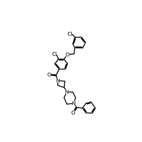 O=C(c1ccccc1)N1CCN(C2CN(C(=O)c3ccc(OCc4cccc(Cl)c4)c(Cl)c3)C2)CC1